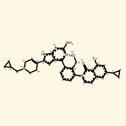 Nc1nc(-c2cccc(-n3ccc4cc(C5CC5)cc(F)c4c3=O)c2CO)c2cc(C3=CCN(CC4CC4)CC3)[nH]c2n1